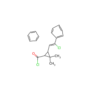 CC1(C)C(/C=C(\Cl)c2ccccc2)C1C(=O)Cl.c1ccccc1